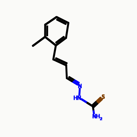 Cc1ccccc1C=CC=NNC(N)=S